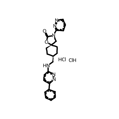 Cl.Cl.O=C1O[C@]2(CC[C@H](CNc3ccc(-c4ccccc4)nn3)CC2)CN1c1cccnn1